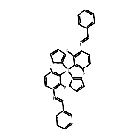 Fc1ccc(N=Cc2ccccc2)c(F)[c]1[Ti]([C]1=CC=CC1)([C]1=CC=CC1)[c]1c(F)ccc(N=Cc2ccccc2)c1F